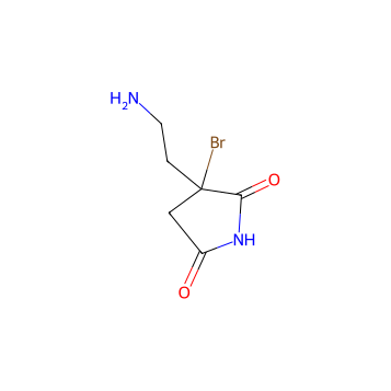 NCCC1(Br)CC(=O)NC1=O